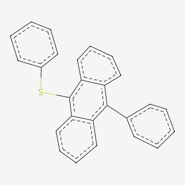 c1ccc(Sc2c3ccccc3c(-c3ccccc3)c3ccccc23)cc1